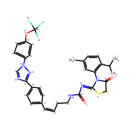 Cc1ccc(C(C)C)c(N2C(=O)CS/C2=N\C(=O)NCC/C=C\c2ccc(-c3ncn(-c4ccc(OC(F)(F)F)cc4)n3)cc2)c1